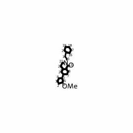 COc1cccc(-c2ccc3c(=O)n(CCc4ccccc4)ccc3c2)c1